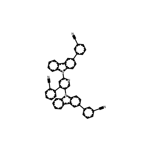 N#Cc1cccc(-c2ccc3c(c2)c2ccccc2n3-c2cc(-c3ccccc3C#N)c(-n3c4ccccc4c4cc(-c5cccc(C#N)c5)ccc43)cn2)c1